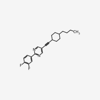 CCCCC1CCC(C#Cc2cnc(-c3ccc(F)c(F)c3)nc2)CC1